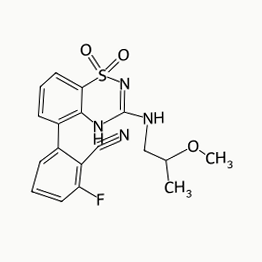 COC(C)CNC1=NS(=O)(=O)c2cccc(-c3cccc(F)c3C#N)c2N1